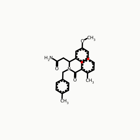 COc1cccc(C(CC(N)=O)N(Cc2ccc(C)cc2)C(=O)c2cnccc2C)c1